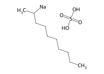 CCCCCCCC[CH](C)[Na].O=S(=O)(O)O